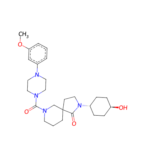 COc1cccc(N2CCN(C(=O)N3CCCC4(CCN([C@H]5CC[C@H](O)CC5)C4=O)C3)CC2)c1